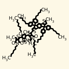 CCCCCCCCOc1c(C)c(-c2sc(-c3cc4c(s3)-c3cc5c(cc3C4(c3ccc(CCCCCC)cc3)c3ccc(CCCCCC)cc3)-c3sc(C)cc3C5(c3ccc(CCCCCC)cc3)c3ccc(CCCCCC)cc3)c3c2C(=O)N(CCCCCCCC)C3=O)c2nsnc2c1-c1sc(C)c2c1C(=O)N(CCCCCCCC)C2=O